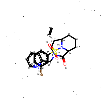 C=C[C@H]1CN(Cc2ccccn2)C(=O)C2CCCC1N2S(=O)(=O)c1cccc(Br)c1